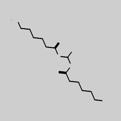 CCCCCCCCCCCCCCCC(=O)OC(CCCC)OC(=O)CCCCCCCCCCCCCCC